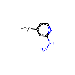 NNc1cc(C(=O)O)ccn1